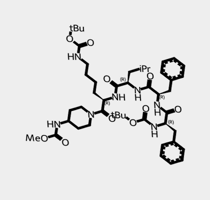 COC(=O)NC1CCN(C(=O)[C@@H](CCCCNC(=O)OC(C)(C)C)NC(=O)[C@@H](CC(C)C)NC(=O)[C@@H](Cc2ccccc2)NC(=O)[C@@H](Cc2ccccc2)NC(=O)OC(C)(C)C)CC1